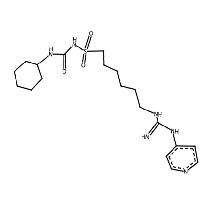 N=C(NCCCCCCS(=O)(=O)NC(=O)NC1CCCCC1)Nc1ccncc1